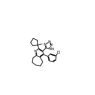 [CH]C1(c2nc3c(c(-c4cccc(Cl)c4)c2-c2nnn[nH]2)CCCCC3)CCCC1